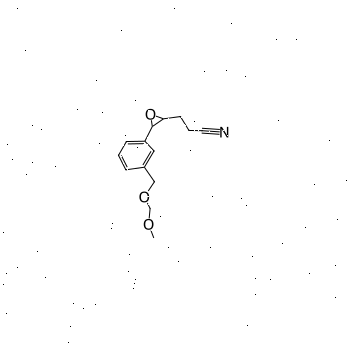 COCOCc1cccc(C2OC2CCC#N)c1